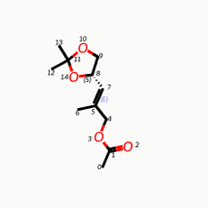 CC(=O)OC/C(C)=C/[C@H]1COC(C)(C)O1